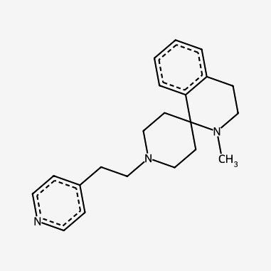 CN1CCc2ccccc2C12CCN(CCc1ccncc1)CC2